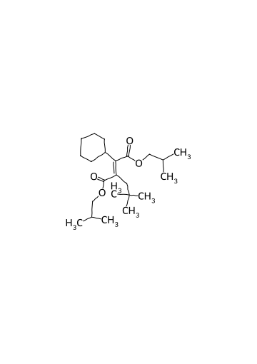 CC(C)COC(=O)C(CC(C)(C)C)=C(C(=O)OCC(C)C)C1CCCCC1